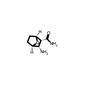 NC(=O)[C@@H]1[C@H](N)[C@H]2CC[C@@H]1O2